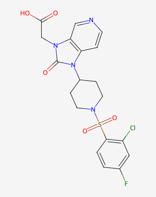 O=C(O)Cn1c(=O)n(C2CCN(S(=O)(=O)c3ccc(F)cc3Cl)CC2)c2ccncc21